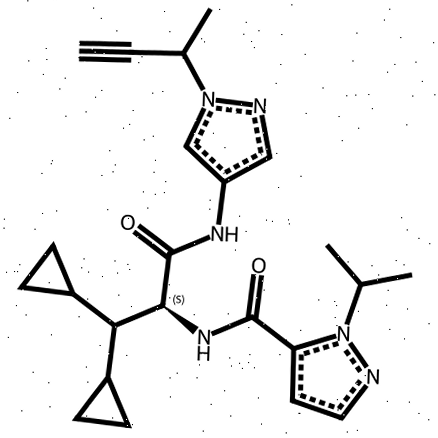 C#CC(C)n1cc(NC(=O)[C@@H](NC(=O)c2ccnn2C(C)C)C(C2CC2)C2CC2)cn1